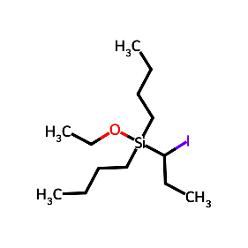 CCCC[Si](CCCC)(OCC)C(I)CC